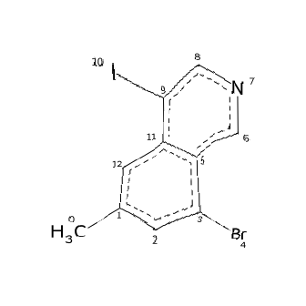 Cc1cc(Br)c2cncc(I)c2c1